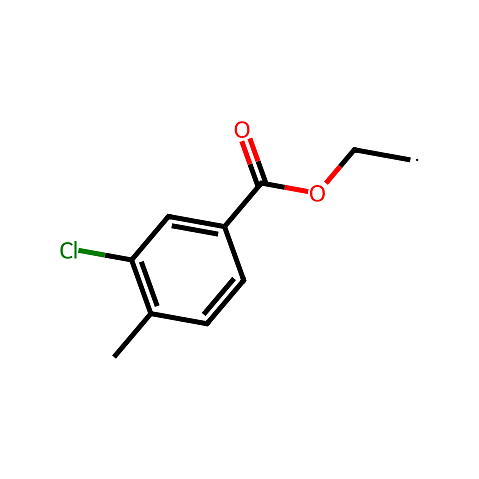 [CH2]COC(=O)c1ccc(C)c(Cl)c1